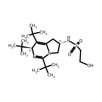 CC(C)(C)C1=N[C@@H](C(C)(C)C)C(C(C)(C)C)=C2C[C@H](NS(=O)(=O)CCO)CN12